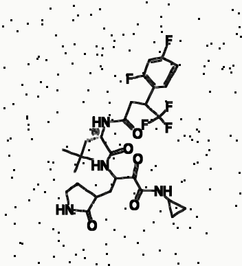 CC(C)(C)C[C@H](NC(=O)CC(c1ccc(F)cc1F)C(F)(F)F)C(=O)NC(CC1CCNC1=O)C(=O)C(=O)NC1CC1